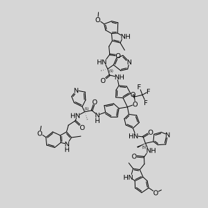 COc1ccc2[nH]c(C)c(CC(=O)N[C@](C)(C(=O)Nc3ccc(C(OC(=O)C(F)(F)F)(c4ccc(NC(=O)[C@@](C)(NC(=O)Cc5c(C)[nH]c6ccc(OC)cc56)c5ccncc5)cc4)c4ccc(NC(=O)[C@@](C)(NC(=O)Cc5c(C)[nH]c6ccc(OC)cc56)c5ccncc5)cc4)cc3)c3ccncc3)c2c1